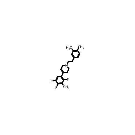 Cc1ccc(CCN2CC=C(c3cc(F)c(F)c(C)c3F)CC2)cc1C